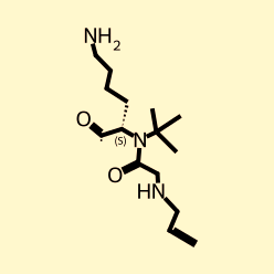 C=CCNCC(=O)N([C@H]([C]=O)CCCCN)C(C)(C)C